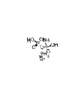 O=P(O)(O)OP(=O)(O)O.P.[H+].[H+].[H+]